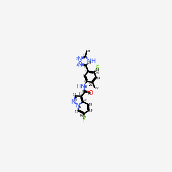 Cc1nnc(-c2cc(NC(=O)c3cnn4cc(F)ccc34)c(C)cc2F)[nH]1